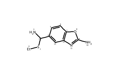 CCSC(N)c1ccc2oc(N)nc2c1